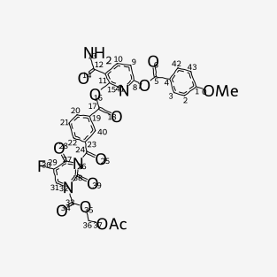 COc1ccc(C(=O)Oc2ccc(C(N)=O)c(OC(=O)c3cccc(C(=O)n4c(=O)c(F)cn(C(=O)OCOC(C)=O)c4=O)c3)n2)cc1